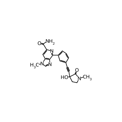 CN1CCC(O)(C#Cc2cccc(-c3nc(C(N)=O)cc4c3ncn4C)c2)C1=O